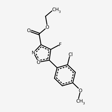 CCOC(=O)c1noc(-c2ccc(OC)cc2Cl)c1F